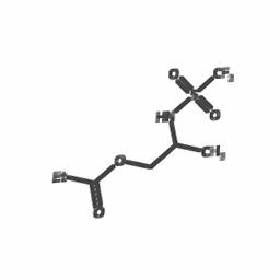 CCC(=O)OCC(C)NS(=O)(=O)C(F)(F)F